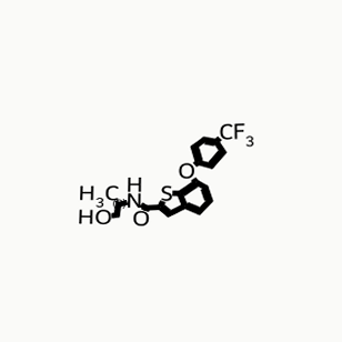 C[C@H](CO)NC(=O)c1cc2cccc(Oc3ccc(C(F)(F)F)cc3)c2s1